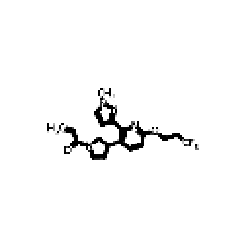 C=CC(=O)N1CCC(c2ccc(OCCC(F)(F)F)nc2-c2ccn(C)n2)C1